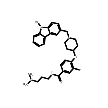 CCn1c2ccccc2c2cc(CN3CCC(Oc4ccc(C(=O)NCCCN(C)C)cc4Cl)CC3)ccc21